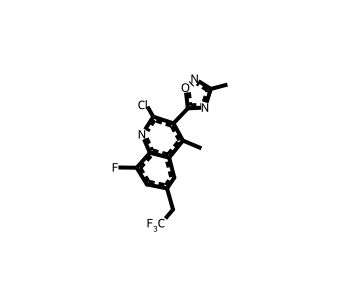 Cc1noc(-c2c(Cl)nc3c(F)cc(CC(F)(F)F)cc3c2C)n1